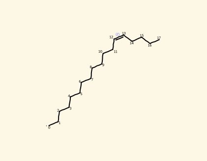 [CH2]CCCCCCCCCCC/C=C\CCCC